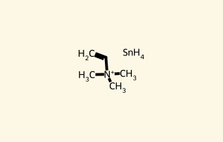 C=C[N+](C)(C)C.[SnH4]